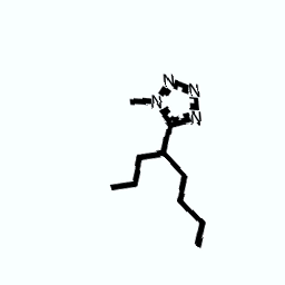 CCCCC(CCC)c1nnnn1C